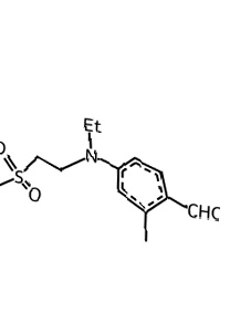 CCN(CCS(C)(=O)=O)c1ccc(C=O)c(C)c1